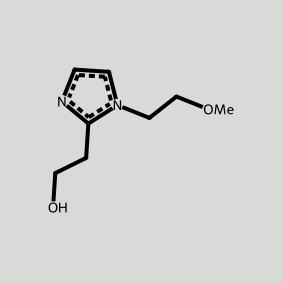 COCCn1ccnc1CCO